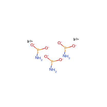 NP([O-])[O-].NP([O-])[O-].NP([O-])[O-].[Ir+3].[Ir+3]